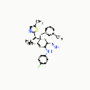 C=C(c1ncc(C)s1)C1(Cc2cccc(C(F)(F)F)c2)CC(C=N)=C(Nc2ccc(F)cc2)C=C1CCC